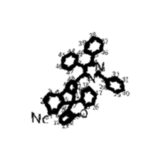 N#Cc1ccc2c(c1)C1(c3ccccc3Oc3ccccc31)c1cc(-c3nc(-c4ccccc4)nc(-c4ccccc4)c3-c3ccccc3)ccc1-2